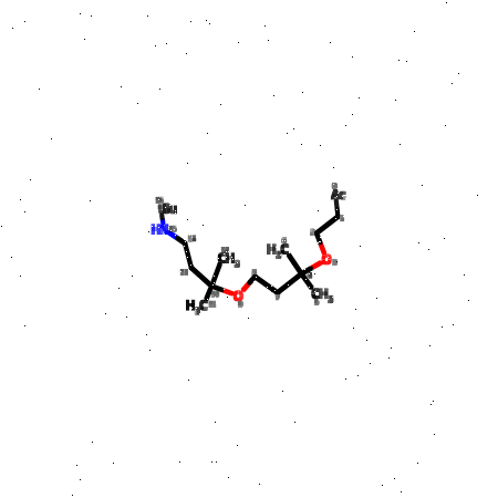 CC(=O)CCOC(C)(C)CCOC(C)(C)CCNC(C)(C)C